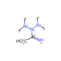 CN(C)N(C(=N)C(=O)O)N(C)C